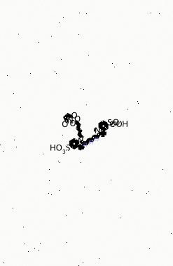 C[N+]1=C(/C=C/C=C/C=C2\N(CCCCCC(=O)ON3C(=O)CCC3=O)c3ccc(S(=O)(=O)O)cc3C2(C)C)C(C)(C)c2cc(SOOO)ccc21